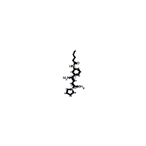 CCCCC(=O)Nc1cccc(/C(N)=C/C=C(\N)N2CCCC2)c1